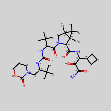 CC(C)(C)[C@H](NC(=O)N[C@H](CN1CCCOC1=O)C(C)(C)C)C(=O)N1C[C@H]2[C@@H]([C@H]1C(=O)NC(C(=O)C(N)=O)C1CCC1)C2(C)C